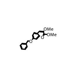 COC(=O)C(=Cc1ccc(OCc2ccccc2)cc1)OC